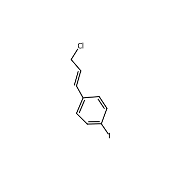 ClCC=Cc1ccc(I)cc1